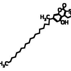 CCCCCCCCCCCCCCCCCCC(C)c1cc(O)c2c3c(c(=O)oc2c1)SCC3